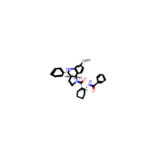 COc1ccc2c(c1)N[C@@H](c1ccccc1)[C@H]1CCN(C(=O)[C@H]3CCCC[C@H]3NC(=O)c3ccccc3)[C@@H]21